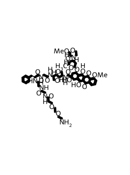 COc1cccc2c1C(=O)c1c(O)c3c(c(O)c1C2=O)C[C@@](O)(C(=O)N[C@H]1CO[C@H]2[C@@H]1OC[C@@H]2NC(=O)CNC(=O)[C@H](Cc1ccccc1)NC(=O)CNC(=O)CNC(=O)CCOCCOCCN)C[C@@H]3O[C@H]1C[C@H]2[C@H](O[C@@H]3[C@@H](OC)OCCN32)[C@H](C)O1